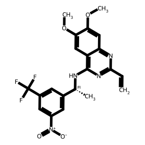 C=Cc1nc(N[C@H](C)c2cc([N+](=O)[O-])cc(C(F)(F)F)c2)c2cc(OC)c(OC)cc2n1